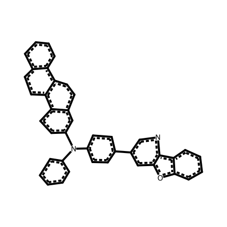 c1ccc(N(c2ccc(-c3cnc4c(c3)oc3ccccc34)cc2)c2ccc3c(ccc4c5ccccc5ccc34)c2)cc1